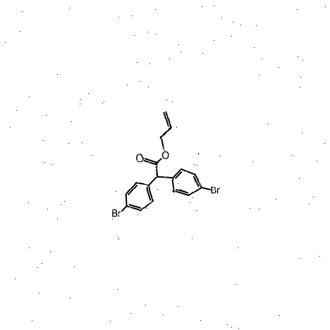 C=CCOC(=O)C(c1ccc(Br)cc1)c1ccc(Br)cc1